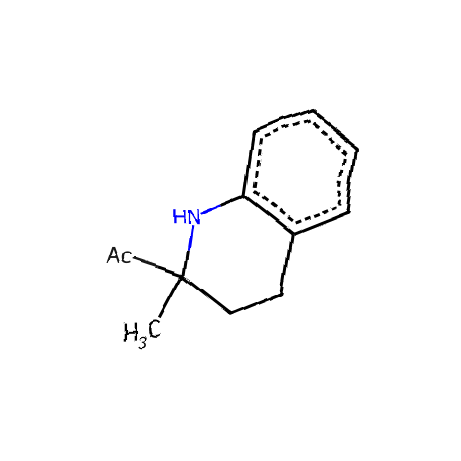 CC(=O)C1(C)CCc2ccccc2N1